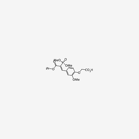 COc1cc(C=C(C(=O)OC(C)C)P(=O)(OC)OC)ccc1OCC(=O)O